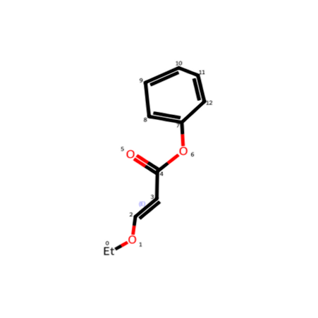 CCO/C=C/C(=O)Oc1ccccc1